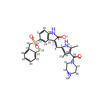 Cc1[nH]c(/C=C2\C(=O)Nc3ccc(S(=O)(=O)Cc4ccccc4F)cc32)c(C)c1C(=O)N1CCN(C)CC1